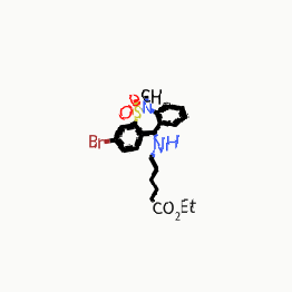 CCOC(=O)CCCCCNC1c2ccccc2N(C)S(=O)(=O)c2cc(Br)ccc21